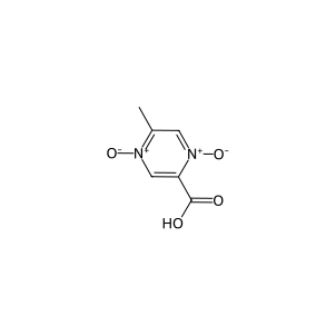 Cc1c[n+]([O-])c(C(=O)O)c[n+]1[O-]